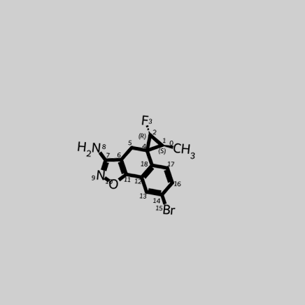 C[C@@H]1[C@@H](F)C12Cc1c(N)noc1-c1cc(Br)ccc12